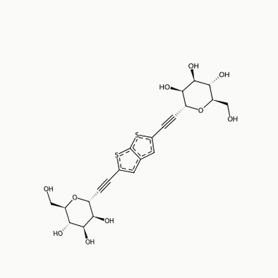 OC[C@H]1O[C@H](C#Cc2cc3cc(C#C[C@H]4O[C@H](CO)[C@@H](O)[C@H](O)[C@@H]4O)sc3s2)[C@@H](O)[C@@H](O)[C@@H]1O